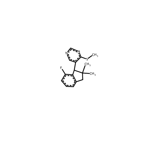 CSc1ncncc1C1c2c(F)cccc2CC1(C)C